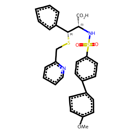 COc1ccc(-c2ccc(S(=O)(=O)N[C@@H](C(=O)O)[C@H](SCc3ccccn3)c3ccccc3)cc2)cc1